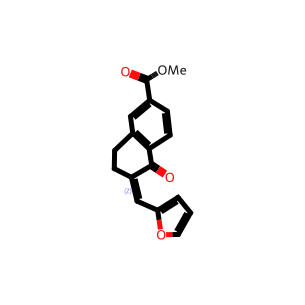 COC(=O)c1ccc2c(c1)CC/C(=C/c1ccco1)C2=O